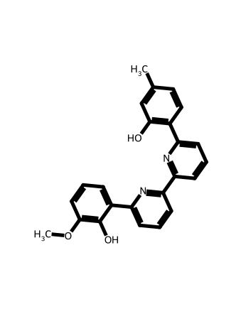 COc1cccc(-c2cccc(-c3cccc(-c4ccc(C)cc4O)n3)n2)c1O